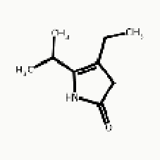 CCC1=C(C(C)C)NC(=O)C1